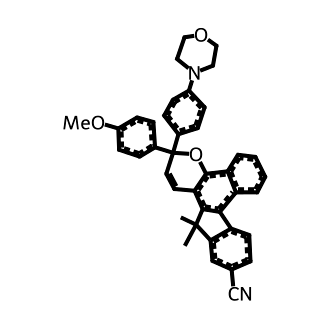 COc1ccc(C2(c3ccc(N4CCOCC4)cc3)C=Cc3c4c(c5ccccc5c3O2)-c2ccc(C#N)cc2C4(C)C)cc1